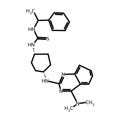 CC(NC(=S)N[C@H]1CC[C@@H](Nc2nc(N(C)C)c3ccccc3n2)CC1)c1ccccc1